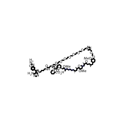 CO[C@@H](C[C@@H]1CC[C@@H](C)[C@](O)(C(=O)C(=O)N2CCCC[C@H]2C(=O)O)O1)/C(C)=C/C=C/C=C/[C@@H](C)C[C@@H](C)C(=O)[C@@H](C/C(C)=C/[C@@H](C)C(=O)CC[C@H](C)CC1CC[C@@H](OCCOCc2cn(CCOCCOCCOCCOCCOCCOCCOCCOCCC(=O)NCCCCn3nc(-c4ccc5oc(N)nc5c4)c4c(N)ncnc43)nn2)[C@H](OC)C1)OC